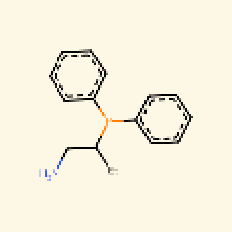 CCC(CN)P(c1ccccc1)c1ccccc1